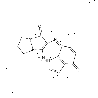 Nc1c(/N=C2/C=CC(=O)c3cc[nH]c32)c(=O)n2n1CCC2